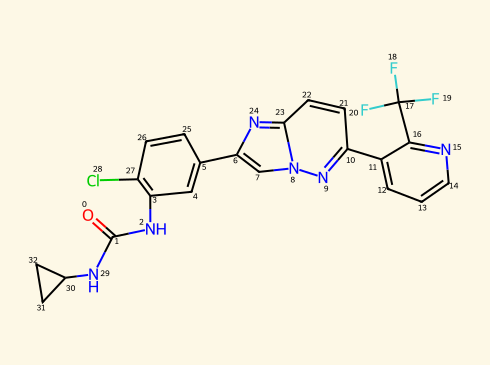 O=C(Nc1cc(-c2cn3nc(-c4cccnc4C(F)(F)F)ccc3n2)ccc1Cl)NC1CC1